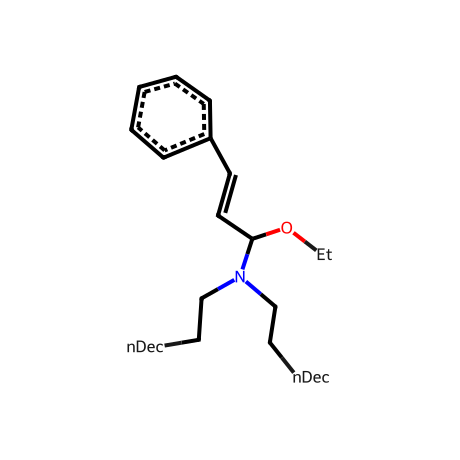 CCCCCCCCCCCCN(CCCCCCCCCCCC)C(C=Cc1ccccc1)OCC